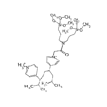 CO[Si](CCCN(CCC[Si](OC)(OC)OC)C(=O)C[n+]1ccc(C(CCC(c2cc[n+](C)cc2)C(C)C)CC(C)C)cc1)(OC)OC